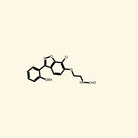 CSc1ccccc1-c1noc2c(Cl)c(OCCNC=O)ccc12